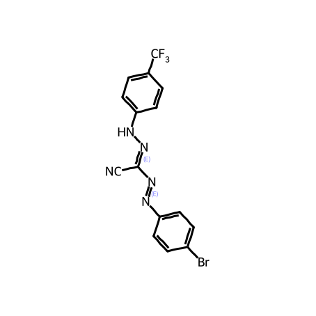 N#CC(/N=N/c1ccc(Br)cc1)=N\Nc1ccc(C(F)(F)F)cc1